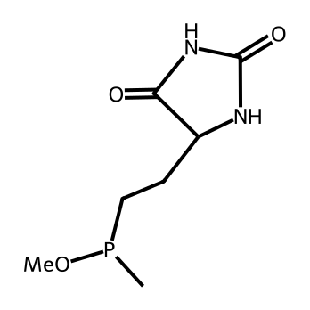 COP(C)CCC1NC(=O)NC1=O